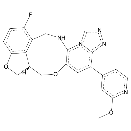 COc1cc(-c2cc3c(n4cnnc24)NCc2c(F)ccc4c2[C@@H](CO4)CO3)ccn1